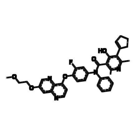 COCCOc1cnc2c(Oc3ccc(N(C(=O)c4c(C)nc(C)c(C5=CCCC5)c4O)c4ccccc4)cc3F)ccnc2c1